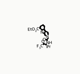 CCOC(=O)c1cccc2c3ccn(CC(=O)NC(C(=O)C(F)(F)F)C(C)C)cc-3nc12